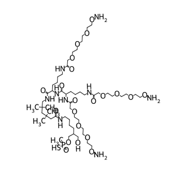 CC(C)(CNC(=O)C(CCCCNC(=O)COCCOCCOCCON)NC(=O)C(CCCCNC(=O)COCCOCCOCCON)NC(=O)COCCOCCOCCON)CC(C)(C)CC(=O)NCCCCC(CO)COP(C)(=O)S